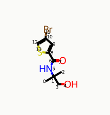 CC(C)(CO)NC(=O)c1cc(Br)cs1